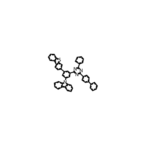 c1ccc(-c2ccc(-c3nc(-c4ccccc4)nc(-c4cc(-c5ccc6c(c5)sc5ccccc56)cc(-n5c6ccccc6c6ccccc65)c4)n3)cc2)cc1